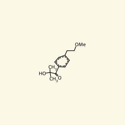 COCCc1ccc(C(=O)C(C)(C)O)cc1